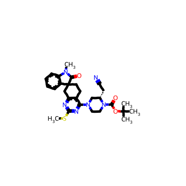 CSc1nc2c(c(N3CCN(C(=O)OC(C)(C)C)[C@@H](CC#N)C3)n1)CCC1(C2)C(=O)N(C)c2ccccc21